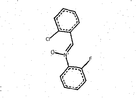 [O-][N+](=Cc1ccccc1Cl)c1ccccc1F